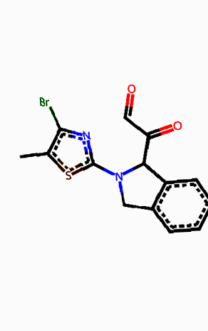 Cc1sc(N2Cc3ccccc3C2C(=O)C=O)nc1Br